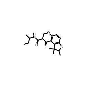 CCC(C)NC(=O)C1COc2ccc3c(c2C1=O)C(C)(C)C(C)O3